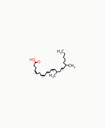 CCCCCC(C)/C=C/CC(C)\C=C/C=C/C=C\C/C=C\CCC(=O)O